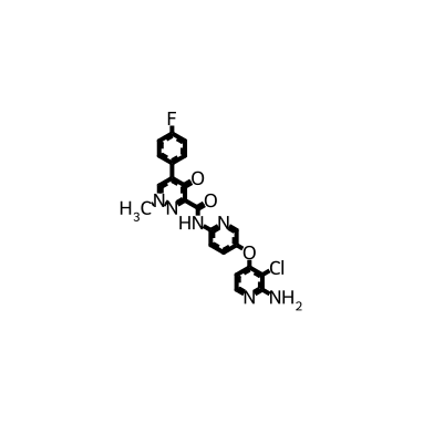 Cn1cc(-c2ccc(F)cc2)c(=O)c(C(=O)Nc2ccc(Oc3ccnc(N)c3Cl)cn2)n1